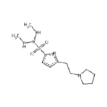 CPN(PC)S(=O)(=O)c1ccn(CCN2CCCC2)n1